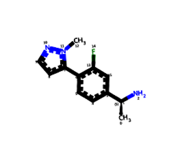 C[C@H](N)c1ccc(-c2ccnn2C)c(F)c1